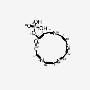 O=P(O)(O)OC1=CC=NC=CN=CC=NC=CN=CCO1